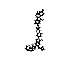 O=C1CCC(N2C(=O)c3ccc(N4CC(F)(CN5CCC(N6Cc7cc(NC(=O)c8cnn9cccnc89)c(OC8CCC8)cc7C6=O)CC5)C4)cc3C2=O)C(=O)N1